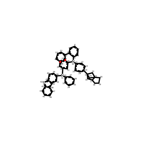 c1ccc(-c2ccccc2N(c2ccc(C34CC5CCCC5(C3)C4)cc2)c2cccc(N(c3ccccc3)c3ccc4sc5ccccc5c4c3)c2)cc1